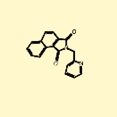 O=C1c2ccc3ccccc3c2C(=O)N1Cc1ccccn1